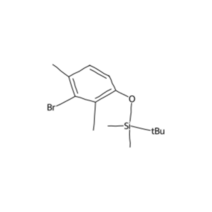 Cc1ccc(O[Si](C)(C)C(C)(C)C)c(C)c1Br